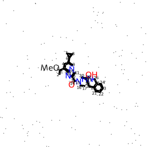 COC(C)c1cc(C2CC2)cn2cc(C(=O)N3CC[C@]4(Cc5ccccc5CN4)[C@H](O)C3)nc12